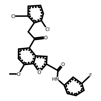 COc1ccc(C(=O)Cc2c(Cl)cccc2Cl)c2cc(C(=O)Nc3cccc(F)c3)oc12